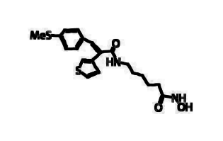 CSc1ccc(C=C(C(=O)NCCCCCC(=O)NO)c2ccsc2)cc1